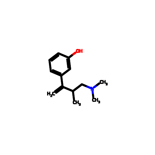 C=C(c1cccc(O)c1)C(C)CN(C)C